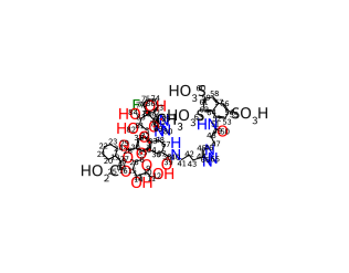 CC1OC(OC2C(OC3OC(CO)C(O)C(O[C@@H](CC4CCCCC4)C(=O)O)C3OC(=O)c3ccccc3)CC(C(=O)NCCCc3cn(CCC(=O)Nc4cc(S(=O)(=O)O)cc5cc(S(=O)(=O)O)cc(S(=O)(=O)O)c45)nn3)CC2n2cc(-c3cccc(F)c3)nn2)C(O)C(O)C1O